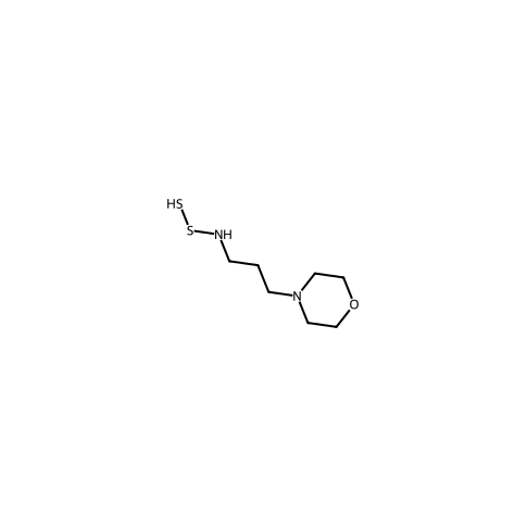 SSNCCCN1CCOCC1